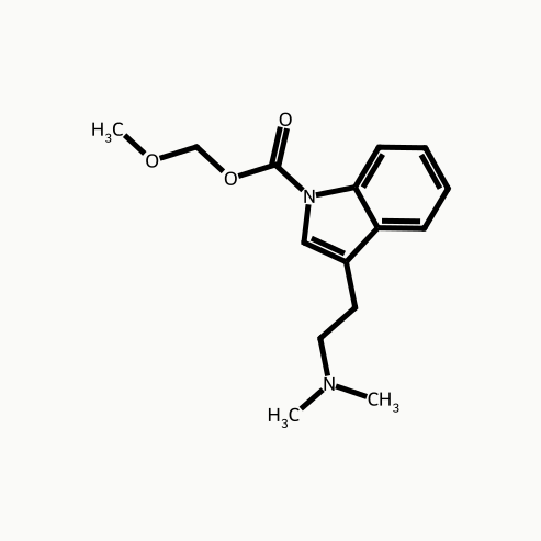 COCOC(=O)n1cc(CCN(C)C)c2ccccc21